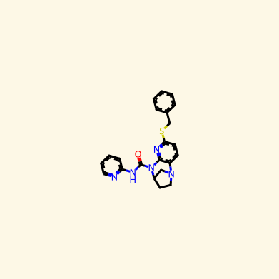 O=C(Nc1ccccn1)N1c2nc(SCc3ccccc3)ccc2N2CCC1C2